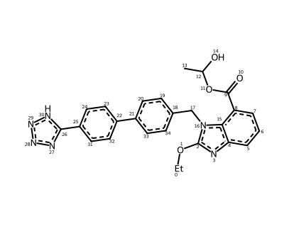 CCOc1nc2cccc(C(=O)OC(C)O)c2n1Cc1ccc(-c2ccc(-c3nnn[nH]3)cc2)cc1